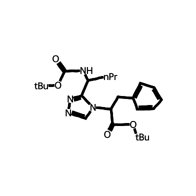 CCCC(NC(=O)OC(C)(C)C)c1nncn1C(Cc1ccccc1)C(=O)OC(C)(C)C